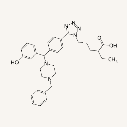 CCC(CCCn1nnnc1-c1ccc(C(c2cccc(O)c2)N2CCN(Cc3ccccc3)CC2)cc1)C(=O)O